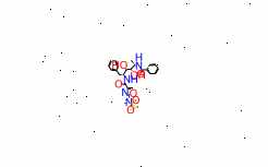 C[C@@H](NC(=O)c1ccccc1)[C@@H](O)[C@H](O)[C@H](Cc1ccccc1)NC(=O)c1coc(N(C)S(C)(=O)=O)n1